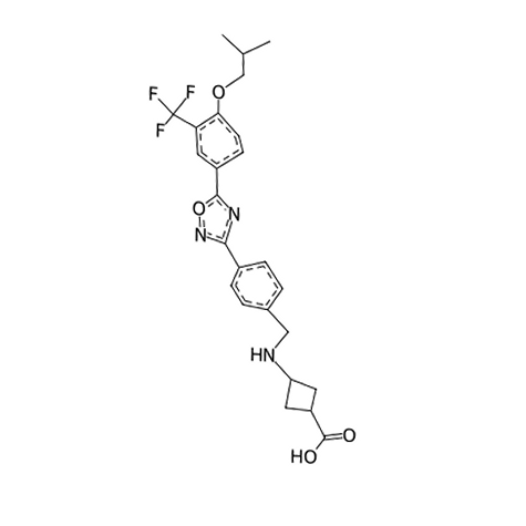 CC(C)COc1ccc(-c2nc(-c3ccc(CNC4CC(C(=O)O)C4)cc3)no2)cc1C(F)(F)F